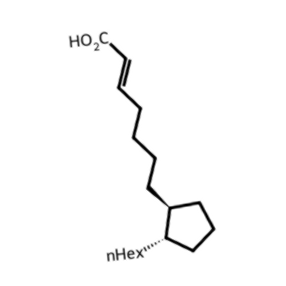 CCCCCC[C@H]1CCC[C@@H]1CCCCC=CC(=O)O